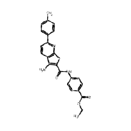 CCOC(=O)c1ccc(NC(=O)c2sc3nc(-c4ccc(C)cc4)ccc3c2N)cc1